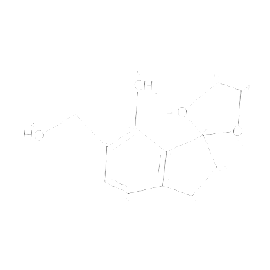 Cc1c(CO)ccc2c1C1(CC2)OCCO1